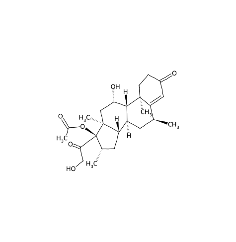 CC(=O)O[C@]1(C(=O)CO)[C@@H](C)C[C@H]2[C@@H]3C[C@H](C)C4=CC(=O)CC[C@]4(C)[C@H]3[C@@H](O)C[C@@]21C